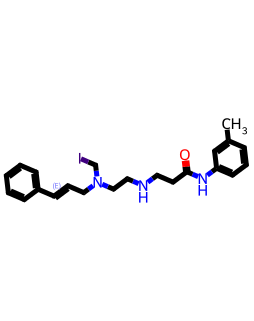 Cc1cccc(NC(=O)CCNCCN(CI)C/C=C/c2ccccc2)c1